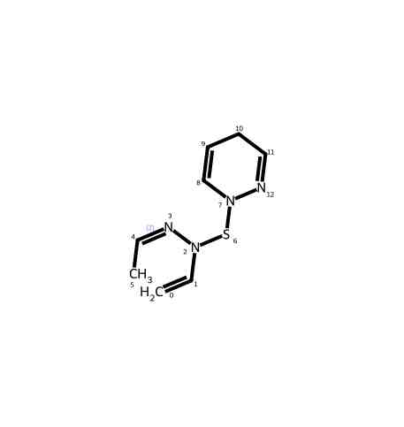 C=CN(/N=C\C)SN1C=CCC=N1